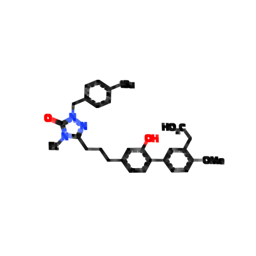 CCn1c(CCCc2ccc(-c3ccc(OC)c(CC(=O)O)c3)c(O)c2)nn(Cc2ccc(C(C)(C)C)cc2)c1=O